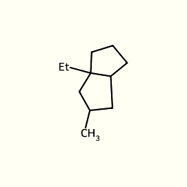 CCC12CCCC1CC(C)C2